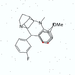 COc1ccccc1N(C)C1C2CCN(CC2)C1C(c1cccc(F)c1)c1cccc(F)c1